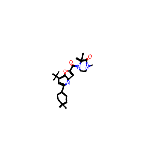 CN1CCN(C(=O)c2cc3nc(C4CCC(C)(C)CC4)cc(C(C)(C)C)c3o2)C(C)(C)C1=O